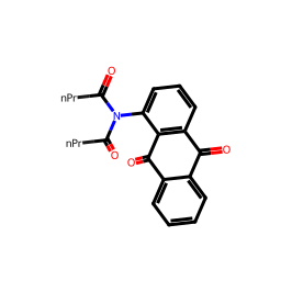 CCCC(=O)N(C(=O)CCC)c1cccc2c1C(=O)c1ccccc1C2=O